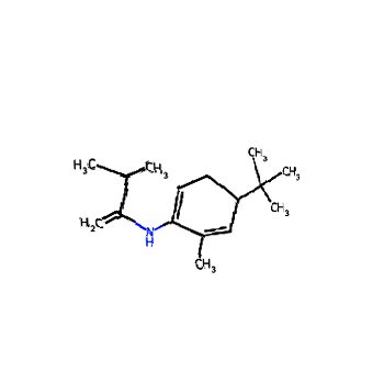 C=C(NC1=CCC(C(C)(C)C)C=C1C)C(C)C